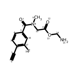 [C]#Cc1ccc(C(=O)N(C)CC(=O)OCN)cc1F